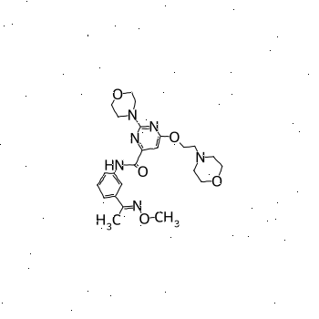 CON=C(C)c1cccc(NC(=O)c2cc(OCCN3CCOCC3)nc(N3CCOCC3)n2)c1